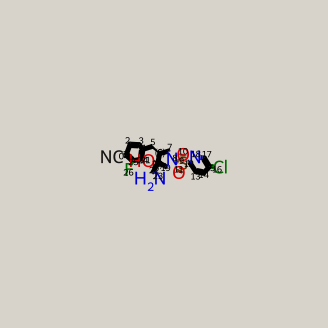 N#Cc1ccc(C[C@H]2CN(S(=O)(=O)c3ccc(Cl)cn3)C[C@@]2(O)CN)cc1F